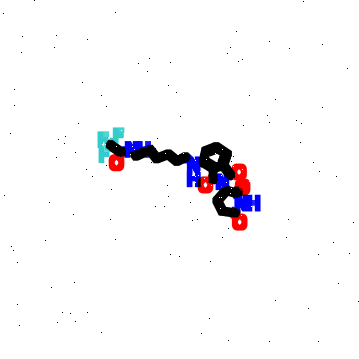 O=C1CCC(N2C(=O)c3cccc(NCCCCCCNC(=O)C(F)(F)F)c3C2=O)C(=O)N1